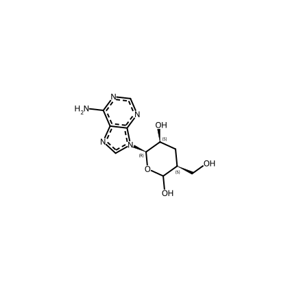 Nc1ncnc2c1ncn2[C@@H]1OC(O)[C@H](CO)C[C@@H]1O